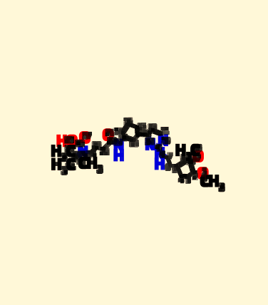 COc1ccc(CCNc2nccc(-c3cccc(NC(=O)CCCN(C(=O)O)C(C)(C)C)c3)n2)cc1OC